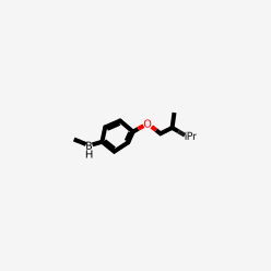 CBc1ccc(OCC(C)C(C)C)cc1